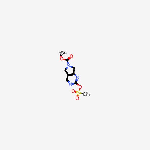 CC(C)(C)OC(=O)N1Cc2cnc(OS(=O)(=O)C(F)(F)F)nc2C1